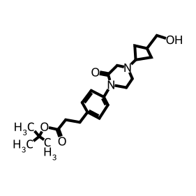 CC(C)(C)OC(=O)CCc1ccc(N2CCN(C3CC(CO)C3)CC2=O)cc1